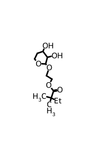 CCC(C)(C)C(=O)OCCOC1OCCC(O)C1O